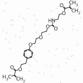 C=C(C)C(=O)OCCNC(=O)OCCOCCOc1ccc(CCOC(=O)C(=C)C)cc1